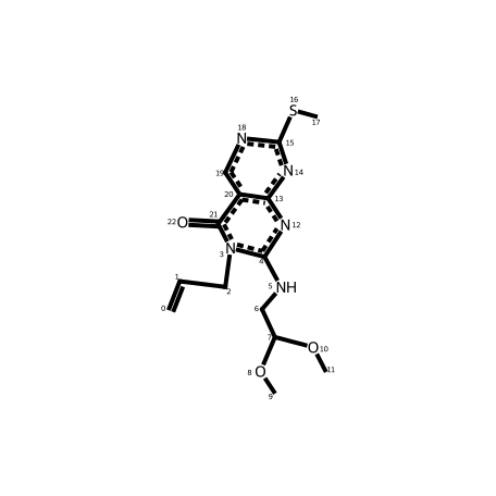 C=CCn1c(NCC(OC)OC)nc2nc(SC)ncc2c1=O